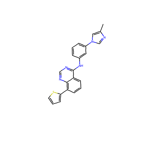 Cc1cn(-c2cccc(Nc3ncnc4c(-c5cccs5)cccc34)c2)cn1